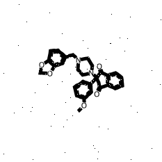 COc1cccc(C2(N3CCN(Cc4ccc5c(c4)OCO5)CC3)C(=O)c3ccccc3C2=O)c1